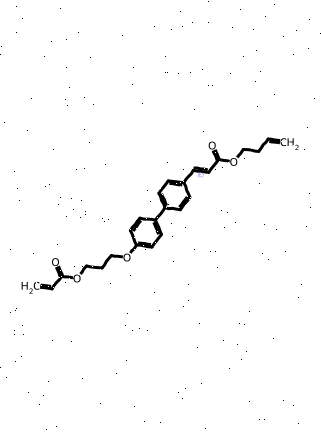 C=CCCOC(=O)/C=C/c1ccc(-c2ccc(OCCCOC(=O)C=C)cc2)cc1